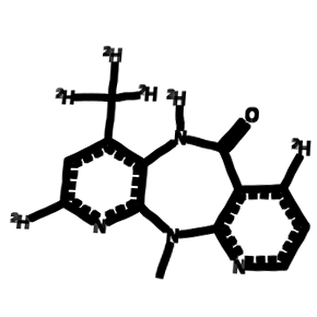 [2H]c1cc(C([2H])([2H])[2H])c2c(n1)N(C)c1nccc([2H])c1C(=O)N2[2H]